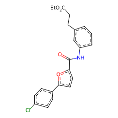 CCOC(=O)CCc1cccc(NC(=O)c2ccc(-c3ccc(Cl)cc3)o2)c1